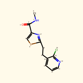 CCNC(=O)c1csc([CH]Cc2cccnc2Cl)n1